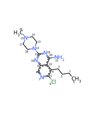 CCCCc1c(Cl)ncc2nc(N3CCN(C)CC3)nc(N)c12